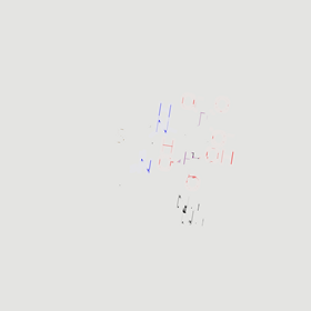 Cc1cnc(NC(P(=O)([O-])[O-])P(=O)(O)O)s1.[Na+].[Na+]